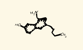 CCCc1cc(N)c2cc(O)ccc2c1